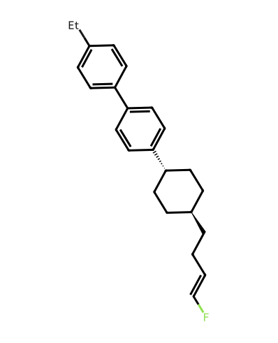 CCc1ccc(-c2ccc([C@H]3CC[C@H](CCC=CF)CC3)cc2)cc1